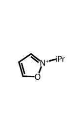 CC(C)[n+]1ccco1